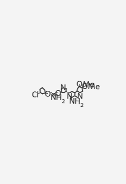 COc1cc2ncc3c(N)nc(-c4cncc(OC[C@H](N)COc5cccc(Cl)c5)c4)cc3c2cc1OC